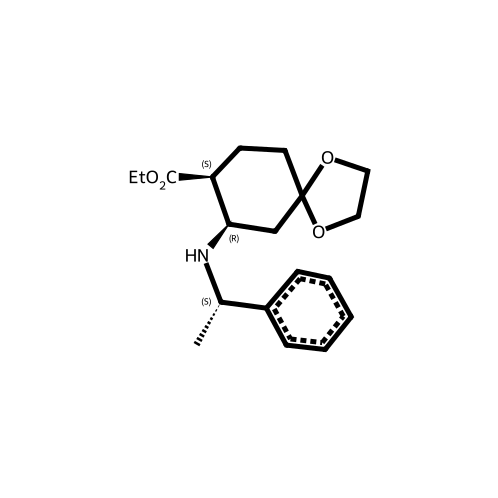 CCOC(=O)[C@H]1CCC2(C[C@H]1N[C@@H](C)c1ccccc1)OCCO2